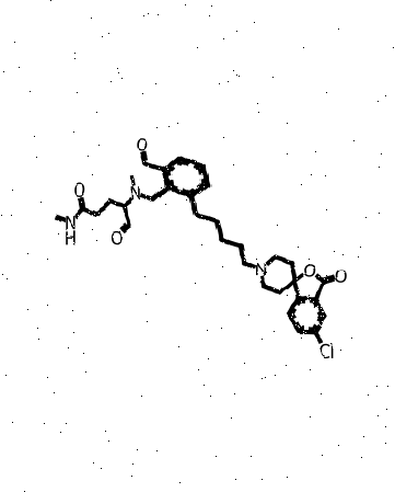 CNC(=O)CCC(C=O)N(C)Cc1c(C=O)cccc1CCCCCN1CCC2(CC1)OC(=O)c1cc(Cl)ccc12